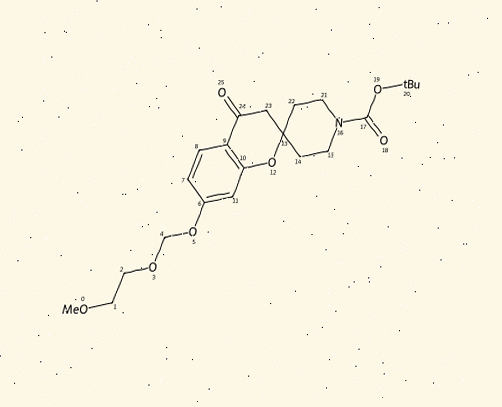 COCCOCOc1ccc2c(c1)OC1(CCN(C(=O)OC(C)(C)C)CC1)CC2=O